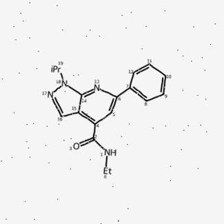 CCNC(=O)c1cc(-c2ccccc2)nc2c1cnn2C(C)C